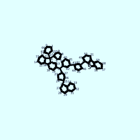 c1ccc(C2(c3ccccc3)c3ccccc3-c3ccc(C(c4ccc(-c5cccc6ccccc56)cc4)c4cccc(-c5cccc(-c6cccc7c6sc6ccccc67)c5)c4)cc32)cc1